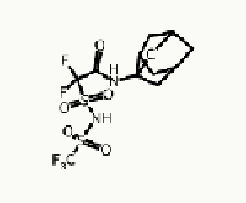 O=C(NC12CC3CC(CC1C3)C2)C(F)(F)S(=O)(=O)NS(=O)(=O)C(F)(F)F